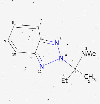 CCC(C)(NC)n1nc2ccccc2n1